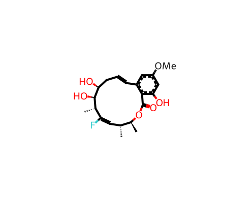 COc1cc(O)c2c(c1)/C=C/C[C@H](O)[C@H](O)[C@@H](C)/C(F)=C\[C@@H](C)[C@H](C)OC2=O